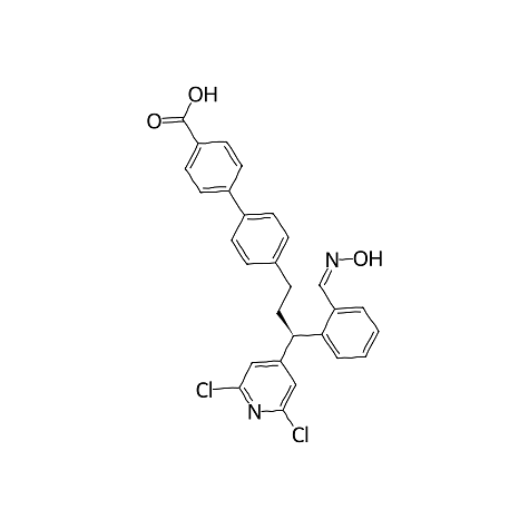 O=C(O)c1ccc(-c2ccc(CC[C@H](c3cc(Cl)nc(Cl)c3)c3ccccc3/C=N\O)cc2)cc1